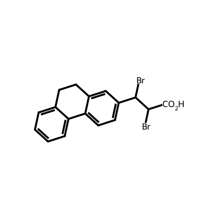 O=C(O)C(Br)C(Br)c1ccc2c(c1)CCc1ccccc1-2